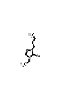 CCCCN1N=CN(CC)C1Br